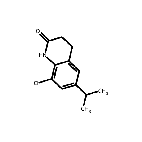 CC(C)c1cc(Cl)c2c(c1)CCC(=O)N2